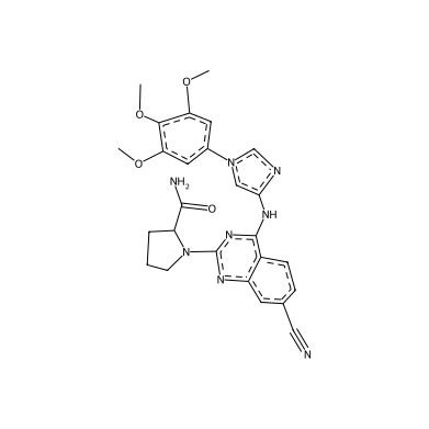 COc1cc(-n2cnc(Nc3nc(N4CCCC4C(N)=O)nc4cc(C#N)ccc34)c2)cc(OC)c1OC